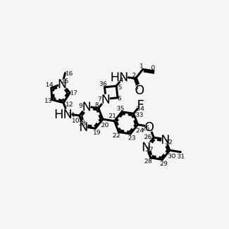 C=CC(=O)NC1CN(c2nc(Nc3ccn(C)c3)ncc2-c2ccc(Oc3nccc(C)n3)c(F)c2)C1